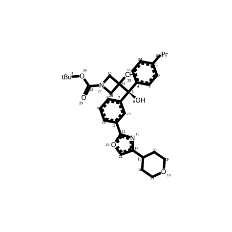 CC(C)c1ccc([C@](O)(c2cccc(-c3nc(C4CCOCC4)co3)c2)C2(C)CN(C(=O)OC(C)(C)C)C2)cc1